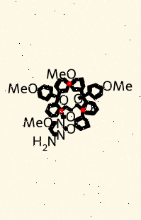 COc1ccc(C(OC(C(=O)c2ccccc2)[C@H]2O[C@@H](n3ccc(N)nc3=O)C[C@@H]2OC(c2ccccc2)(c2ccc(OC)cc2)c2ccc(OC)cc2)(c2ccccc2)c2ccc(OC)cc2)cc1